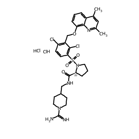 Cc1cc(C)c2cccc(OCc3c(Cl)ccc(S(=O)(=O)N4CCC[C@H]4C(=O)NCC4CCN(C(=N)N)CC4)c3Cl)c2n1.Cl.Cl